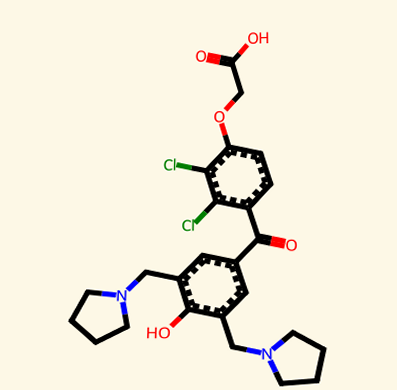 O=C(O)COc1ccc(C(=O)c2cc(CN3CCCC3)c(O)c(CN3CCCC3)c2)c(Cl)c1Cl